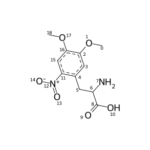 COc1cc(CC(N)C(=O)O)c([N+](=O)[O-])cc1OC